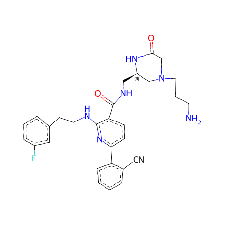 N#Cc1ccccc1-c1ccc(C(=O)NC[C@@H]2CN(CCCN)CC(=O)N2)c(NCCc2cccc(F)c2)n1